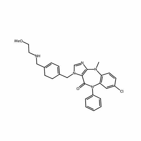 COCCNCC1=CC=C(Cn2cnc3c2C(=O)N(c2ccccc2)c2cc(Cl)ccc2N3C)CC1